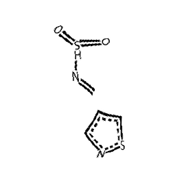 C=N[SH](=O)=O.c1cnsc1